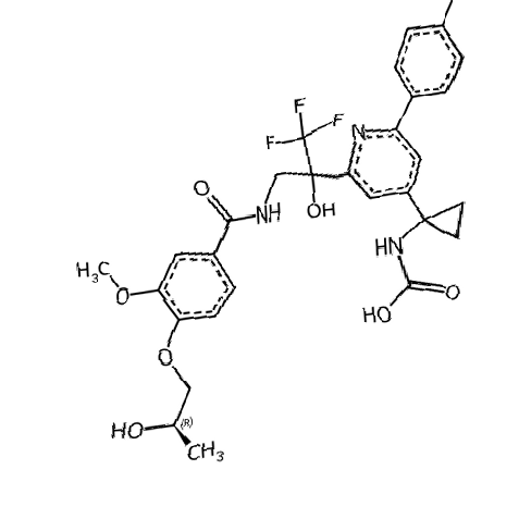 COc1cc(C(=O)NCC(O)(c2cc(C3(NC(=O)O)CC3)cc(-c3ccc(F)cc3)n2)C(F)(F)F)ccc1OC[C@@H](C)O